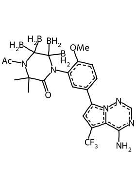 BC1(B)N(c2cc(-c3cc(C(F)(F)F)c4c(N)ncnn34)ccc2OC)C(=O)C(C)(C)N(C(C)=O)C1(B)B